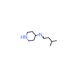 CC(C)C/C=N/C1CCNCC1